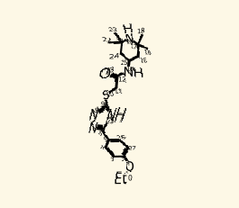 CCOc1ccc(-c2nnc(SCC(=O)NC3CC(C)(C)NC(C)(C)C3)[nH]2)cc1